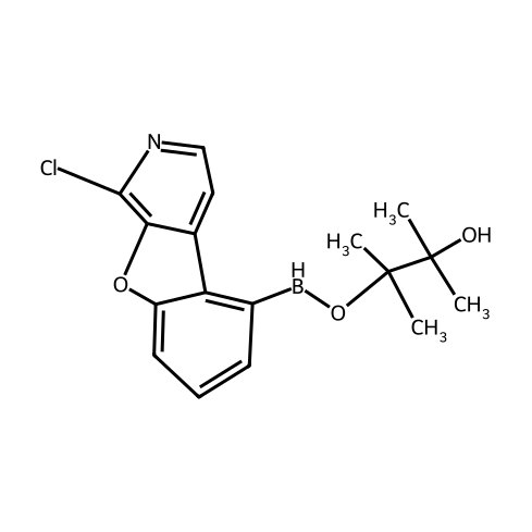 CC(C)(O)C(C)(C)OBc1cccc2oc3c(Cl)nccc3c12